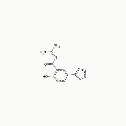 NC(N)=NC(=O)c1cc(-n2cccc2)ccc1O